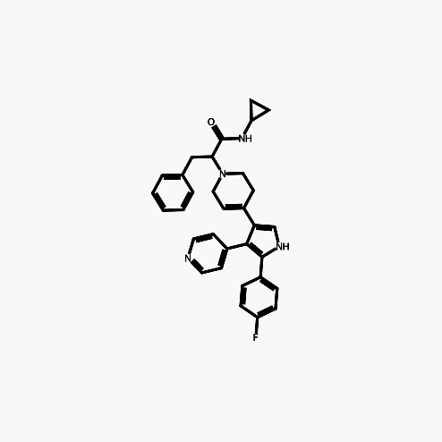 O=C(NC1CC1)C(Cc1ccccc1)N1CC=C(c2c[nH]c(-c3ccc(F)cc3)c2-c2ccncc2)CC1